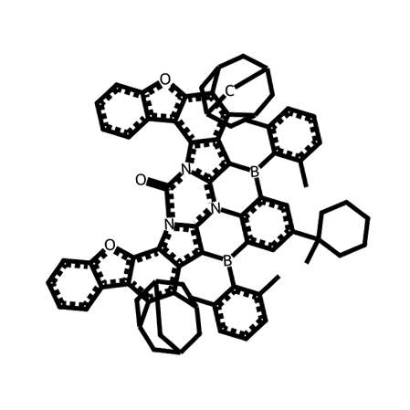 Cc1cccc(C)c1B1c2cc(C3(C)CCCCC3)cc3c2-n2c4c1c1c5c(c6c7ccccc7oc6c1n4c(=O)n1c4c(c6c(c7oc8ccccc8c74)C4CC7CC(C4)CC6C7)c(c21)B3c1c(C)cccc1C)C1CC2CC(CC5C2)C1